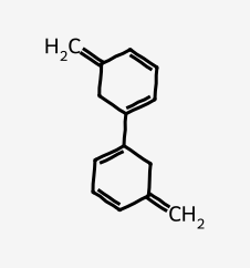 C=C1C=CC=C(C2=CC=CC(=C)C2)C1